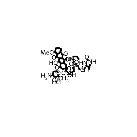 COc1cccc2c1C(=O)c1c(O)c3c(c(O)c1C2=O)C[C@@](O)(C(=O)CO)C[C@@H]3O[C@H]1C[C@H](N)[C@@H](O)[C@H](C)O1.Cl.O=P1(N(CCCl)CCCl)NCCCO1.O=c1[nH]cc(F)c(=O)[nH]1